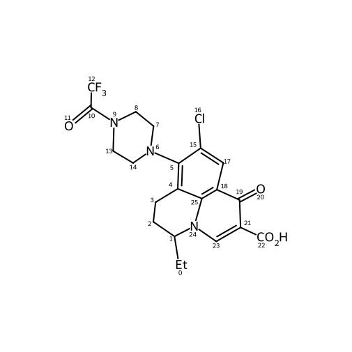 CCC1CCc2c(N3CCN(C(=O)C(F)(F)F)CC3)c(Cl)cc3c(=O)c(C(=O)O)cn1c23